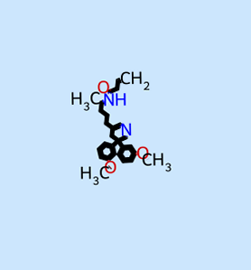 C=CCC(=O)N[C@H](C)CCCC1=CN=CC(c2cccc(OC)c2)(c2cccc(OC)c2)C1